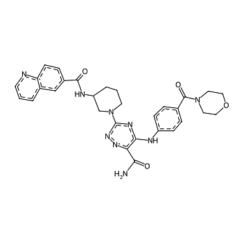 NC(=O)c1nnc(N2CCCC(NC(=O)c3ccc4ncccc4c3)C2)nc1Nc1ccc(C(=O)N2CCOCC2)cc1